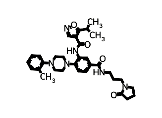 Cc1ccccc1N1CCN(c2ccc(C(=O)NCCCN3CCCC3=O)cc2NC(=O)c2cnoc2C(C)C)CC1